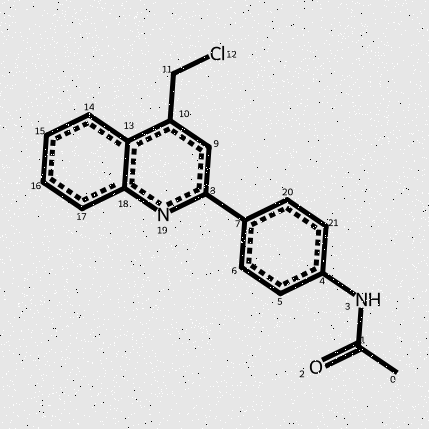 CC(=O)Nc1ccc(-c2cc(CCl)c3ccccc3n2)cc1